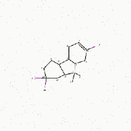 CC1(C)C2CC(I)=CCC2C2CCC(I)(I)CC21